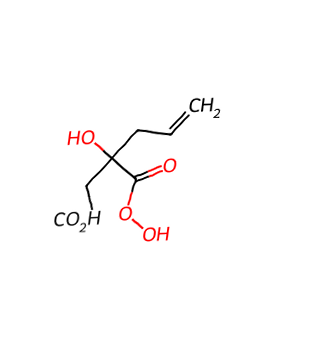 C=CCC(O)(CC(=O)O)C(=O)OO